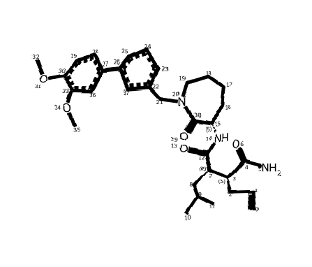 C=CC[C@H](C(N)=O)[C@@H](CC(C)C)C(=O)N[C@H]1CCCCN(Cc2cccc(-c3ccc(OC)c(OC)c3)c2)C1=O